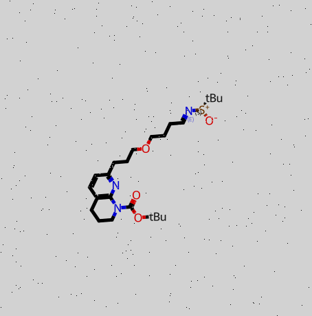 CC(C)(C)OC(=O)N1CCCc2ccc(CCCOCCC/C=N/[S@+]([O-])C(C)(C)C)nc21